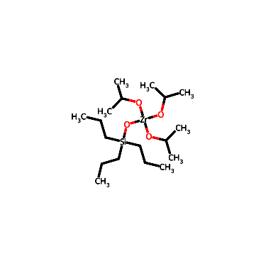 CCC[Si](CCC)(CCC)[O][Zr]([O]C(C)C)([O]C(C)C)[O]C(C)C